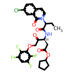 CCC(C(=O)N[C@@H](CC(=O)OC1CCCC1)C(=O)COc1c(F)c(F)cc(F)c1F)n1ccc2ccc(Cl)cc2c1=O